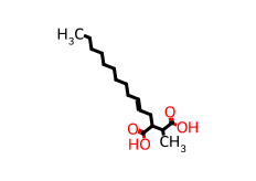 CCCCCCCCCC=CCC(C(=O)O)C(C)C(=O)O